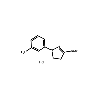 CNC1=NN(c2cccc(C(F)(F)F)c2)CC1.Cl